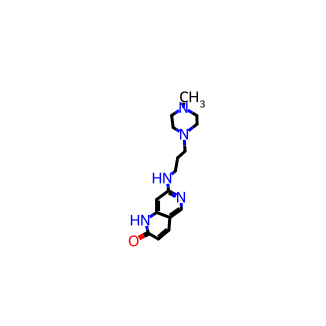 CN1CCN(CCCNc2cc3[nH]c(=O)ccc3cn2)CC1